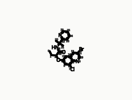 CCC(Oc1cc(Cl)c2ncc(Br)cc2c1)C(=O)NC(C)(C)c1ccccn1